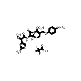 CC(=O)Nc1ccc(OCC2=C(C(=O)O)N3C(=O)C(NC(=O)/C(=N\O)c4csc(N)n4)[C@H]3SC2)cc1.O=C(O)C(F)(F)F